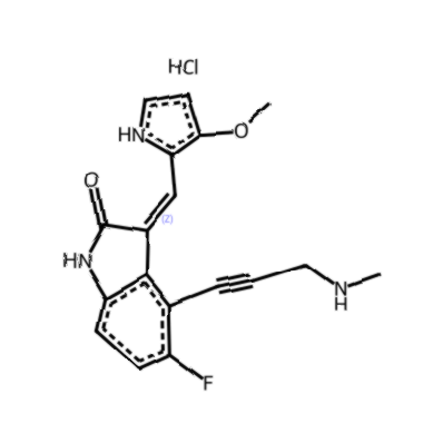 CNCC#Cc1c(F)ccc2c1/C(=C/c1[nH]ccc1OC)C(=O)N2.Cl